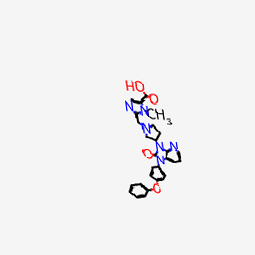 Cn1c(C(=O)O)cnc1CN1CC[C@H](n2c(=O)n(-c3ccc(Oc4ccccc4)cc3)c3cccnc32)C1